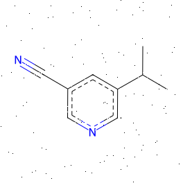 CC(C)c1[c]ncc(C#N)c1